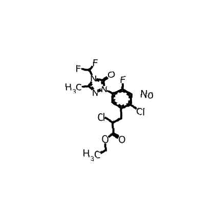 CCOC(=O)C(Cl)Cc1cc(-n2nc(C)n(C(F)F)c2=O)c(F)cc1Cl.[No]